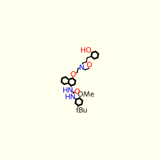 COc1ccc(C(C)(C)C)cc1NC(=O)Nc1ccc(OCCN2CCOC(Cc3ccccc3O)C2)c2ccccc12